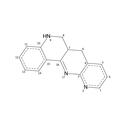 c1cnc2c(c1)CC1CNc3ccccc3C1=N2